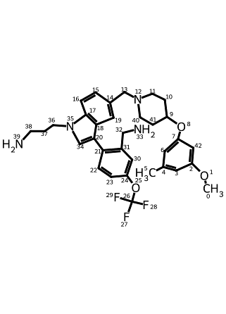 COc1cc(C)cc(OC2CCN(Cc3ccc4c(c3)c(-c3ccc(OC(F)(F)F)cc3CN)cn4CCCN)CC2)c1